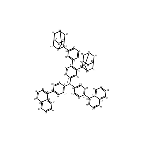 c1cc(-c2ccc(N(c3ccc(-c4cccc5ccccc45)cc3)c3ccc(-c4cccc5ccccc45)cc3)cc2C2C3CC4CC(C3)CC2C4)cc(C2C3CC4CC(C3)CC2C4)c1